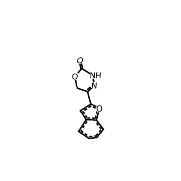 O=C1NN=C(c2cc3ccccc3o2)CO1